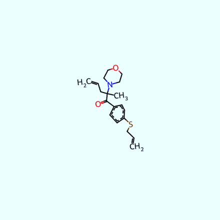 C=CCSc1ccc(C(=O)C(C)(CC=C)N2CCOCC2)cc1